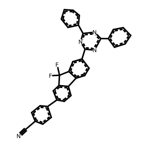 N#Cc1ccc(-c2ccc3c(c2)C(F)(F)c2cc(-c4nc(-c5ccccc5)nc(-c5ccccc5)n4)ccc2-3)cc1